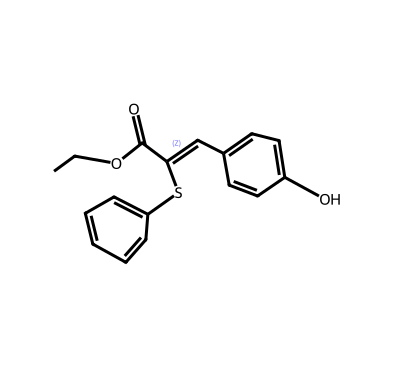 CCOC(=O)/C(=C/c1ccc(O)cc1)Sc1ccccc1